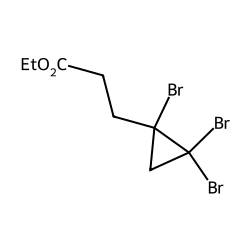 CCOC(=O)CCC1(Br)CC1(Br)Br